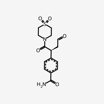 NC(=O)c1ccc([C@H](CC=O)C(=O)N2CCS(=O)(=O)CC2)cc1